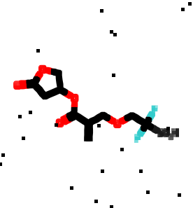 C=C(COCC(F)(F)S(=O)(=O)O)C(=O)OC1COC(=O)C1